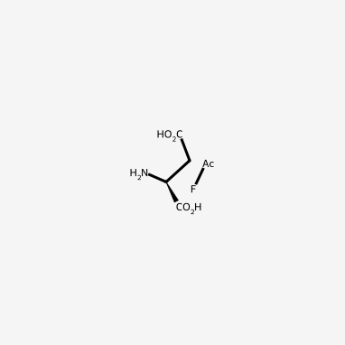 CC(=O)F.N[C@@H](CC(=O)O)C(=O)O